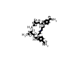 CCc1nc(C)oc1C(=O)Nc1nc2cc(C(N)=O)ccc2n1CC/C=C/CCn1c(NC(=O)c2oc(C)nc2CC)nc2cc(C(N)=O)ccc21